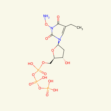 CCc1cn([C@H]2C[C@H](O)[C@@H](COP(=O)(O)OP(=O)(O)OP(=O)(O)O)O2)c(=O)n(ON)c1=O